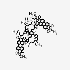 CCCCC(CC)Cc1ccc(-c2c3cc(-c4ccc(-c5cc6c7ccc8c9c(ccc(c%10ccc%11c(c5C(=O)N(C(CCC)CCC)C%11=O)c%106)c97)C(=O)N(CC)C8=O)s4)sc3c(-c3ccc(CC(CC)CCCC)s3)c3cc(-c4ccc(-c5cc6c7ccc8c9c(ccc(c%10ccc%11c(c5C(=O)N(C(CCC)CCC)C%11=O)c%106)c97)C(=O)N(CC)C8=O)s4)sc23)s1